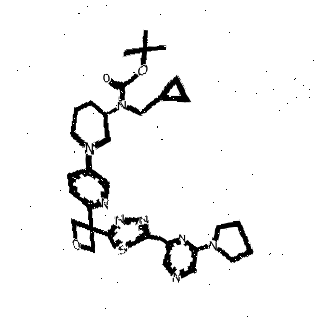 CC(C)(C)OC(=O)N(CC1CC1)[C@@H]1CCCN(c2ccc(C3(c4nnc(-c5cncc(N6CCCC6)n5)s4)COC3)nc2)C1